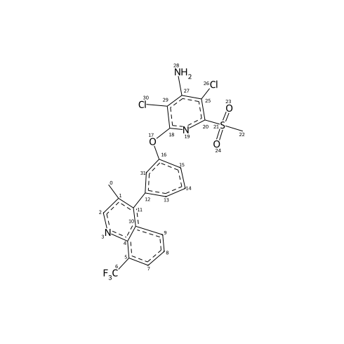 Cc1cnc2c(C(F)(F)F)cccc2c1-c1cccc(Oc2nc(S(C)(=O)=O)c(Cl)c(N)c2Cl)c1